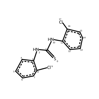 S=C(Nc1ccccc1Cl)Nc1ccccc1Cl